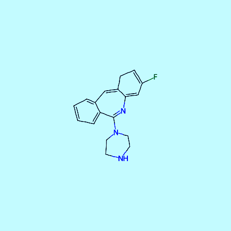 FC1=CCC2=Cc3ccccc3C(N3CCNCC3)=NC2=C1